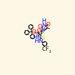 Cc1cn([C@H]2C[C@H](NC(=S)Nc3cccc(C(F)(F)F)c3)[C@@H](COC(c3ccccc3)(c3ccccc3)c3ccccc3)O2)c(=O)[nH]c1=O